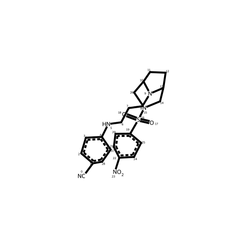 N#Cc1ccc(NCCCN2C3CCC2CN(S(=O)(=O)c2ccc([N+](=O)[O-])cc2)C3)cc1